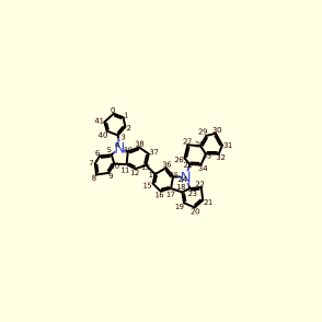 c1ccc(-n2c3ccccc3c3cc(-c4ccc5c6ccccc6n(-c6ccc7ccccc7c6)c5c4)ccc32)cc1